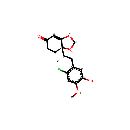 COc1cc(F)c(C[C@H](C)[C@]23CCC(=O)C=C2OCO3)cc1O